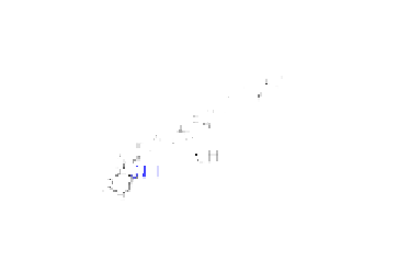 C.CCCCCCCCCCCCCCCCCCc1cc2ccccc2[nH]1